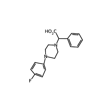 O=C(O)C(c1ccccc1)N1CCN(c2ccc(F)cc2)CC1